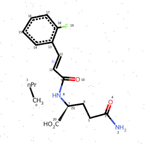 CCCC.NC(=O)CC[C@H](NC(=O)/C=C/c1ccccc1F)C(=O)O